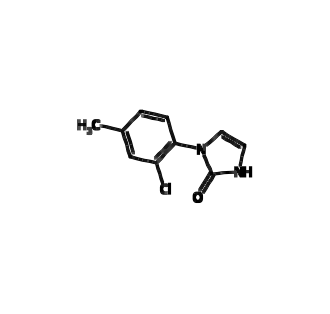 Cc1ccc(-n2cc[nH]c2=O)c(Cl)c1